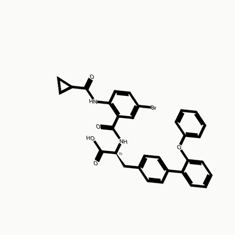 O=C(N[C@@H](Cc1ccc(-c2ccccc2Oc2ccccc2)cc1)C(=O)O)c1cc(Br)ccc1NC(=O)C1CC1